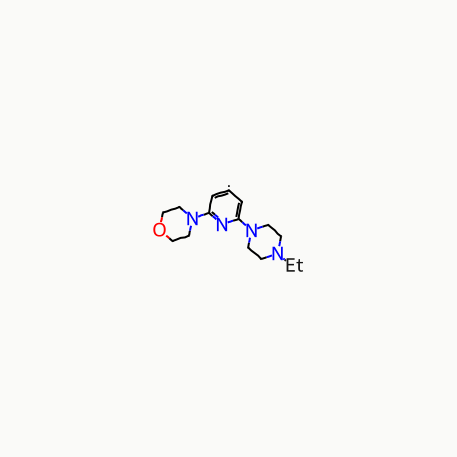 CCN1CCN(c2c[c]cc(N3CCOCC3)n2)CC1